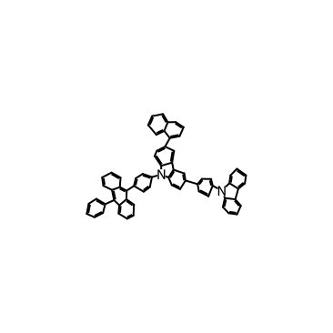 c1ccc(-c2c3ccccc3c(-c3ccc(-n4c5ccc(-c6ccc(-n7c8ccccc8c8ccccc87)cc6)cc5c5cc(-c6cccc7ccccc67)ccc54)cc3)c3ccccc23)cc1